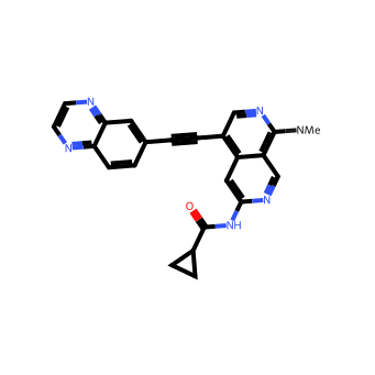 CNc1ncc(C#Cc2ccc3nccnc3c2)c2cc(NC(=O)C3CC3)ncc12